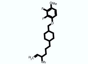 C=CC(CCC)CCCC1CCC(COc2ccc(OC)c(F)c2F)CC1